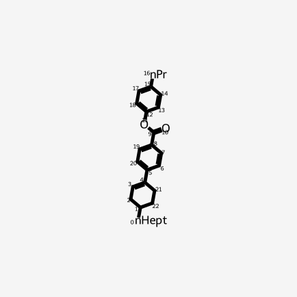 CCCCCCCC1CC=C(c2ccc(C(=O)Oc3ccc(CCC)cc3)cc2)CC1